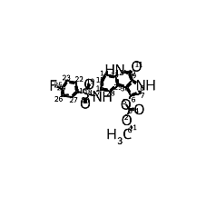 CCOC(=O)Oc1c[nH]c2c(=O)[nH]c3ccc(NS(=O)(=O)c4ccc(F)cc4)cc3c12